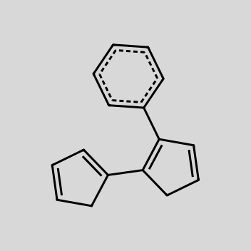 C1=CCC(C2=C(c3ccccc3)C=CC2)=C1